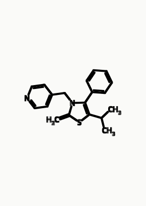 C=C1SC(C(C)C)=C(c2ccccc2)N1Cc1ccncc1